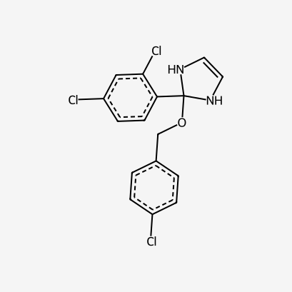 Clc1ccc(COC2(c3ccc(Cl)cc3Cl)NC=CN2)cc1